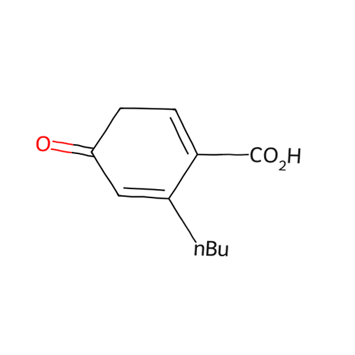 CCCCC1=CC(=O)CC=C1C(=O)O